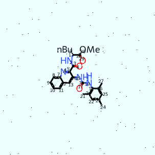 CCCC[C@H](NC(=O)c1nc2ccccc2cc1NC(=O)Nc1c(C)cc(C)cc1C)C(=O)OC